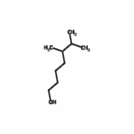 C[C](C)C(C)CCCCO